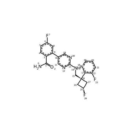 NC(=O)c1ccc(F)cc1-c1cnc(NC[C@]2(c3ncccc3F)C[C@H](F)C2)nc1